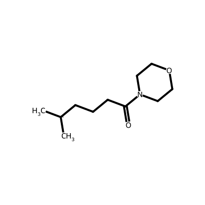 C[C](C)CCCC(=O)N1CCOCC1